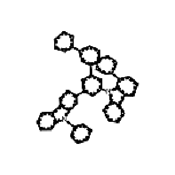 c1ccc(-c2cccc(-c3cc(-c4ccc5c6ccccc6n(-c6ccccc6)c5c4)cc(-n4c5ccccc5c5cccc(-c6ccccc6)c54)c3)c2)cc1